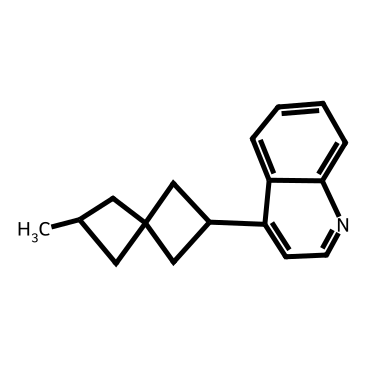 CC1CC2(C1)CC(c1ccnc3ccccc13)C2